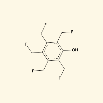 Oc1c(CF)c(CF)c(CF)c(CF)c1CF